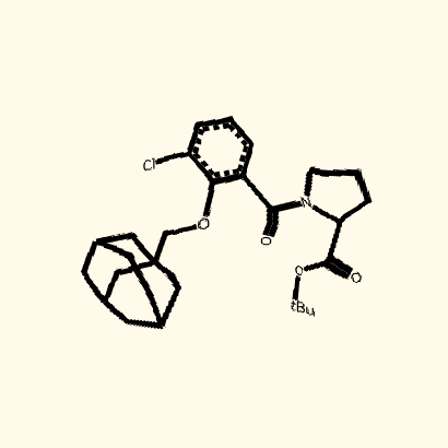 CC(C)(C)OC(=O)C1CCCN1C(=O)c1cccc(Cl)c1OCC12CC3CC(CC(C3)C1)C2